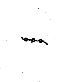 CCCCCc1ccc(C#Cc2ccc(C#Cc3ccc(CCC)cc3)c(F)c2)cc1